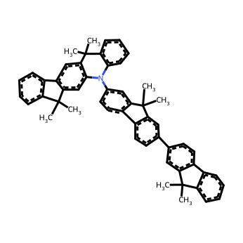 CC1(C)c2ccccc2-c2ccc(-c3ccc4c(c3)C(C)(C)c3cc(N5c6ccccc6C(C)(C)c6cc7c(cc65)C(C)(C)c5ccccc5-7)ccc3-4)cc21